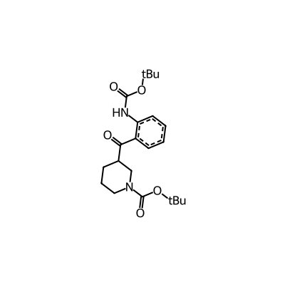 CC(C)(C)OC(=O)Nc1ccccc1C(=O)C1CCCN(C(=O)OC(C)(C)C)C1